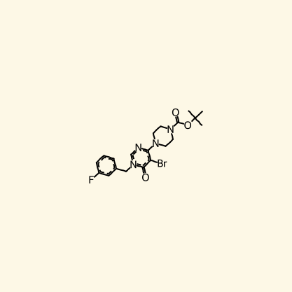 CC(C)(C)OC(=O)N1CCN(c2ncn(Cc3cccc(F)c3)c(=O)c2Br)CC1